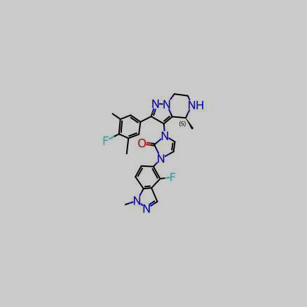 Cc1cc(-c2nn3c(c2-n2ccn(-c4ccc5c(cnn5C)c4F)c2=O)[C@H](C)NCC3)cc(C)c1F